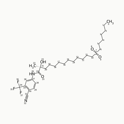 CCCCCCCS(=O)(=O)CCCCCCCCCCC[C@](C)(O)C(=O)Nc1ccc(C#N)c(C(F)(F)F)c1